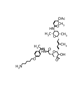 CC(=O)O[C@@H](C)/C=C\C(=O)N[C@@H]1C[C@H](C)[C@H](C/C=C(C)/C=C/[C@H]2O[C@H](CC(=O)NN=C(C)c3ccc(OCCCCCN)cc3)C[C@@]3(CO3)[C@@H]2O)O[C@@H]1C